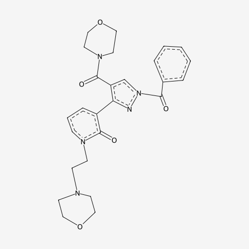 O=C(c1cn(C(=O)c2ccccc2)nc1-c1cccn(CCN2CCOCC2)c1=O)N1CCOCC1